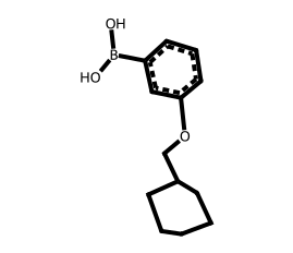 OB(O)c1cccc(OCC2CCCCC2)c1